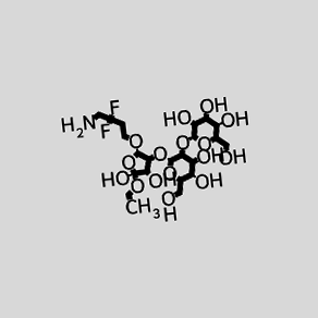 CCO[C@@]1(O)O[C@H](OCCC(F)(F)CN)C(O[C@H]2OC(CO)[C@@H](O)C(O)C2O[C@@H]2OC(CO)[C@@H](O)C(O)C2O)C1O